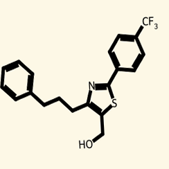 OCc1sc(-c2ccc(C(F)(F)F)cc2)nc1CCCc1ccccc1